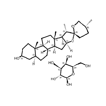 C[C@@H]1CC[C@@]2(OC1)O[C@H]1C[C@H]3[C@@H]4CC[C@H]5C[C@@H](O)CC[C@]5(C)[C@H]4CC[C@]3(C)[C@H]1[C@@H]2C.OC[C@H]1O[C@@H](O)[C@H](O)[C@@H](O)[C@H]1O